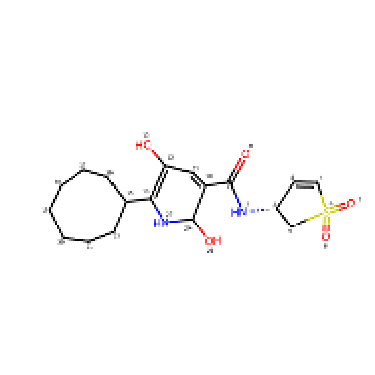 O=C(N[C@@H]1C=CS(=O)(=O)C1)C1=CC(O)=C(C2CCCCCCC2)NC1O